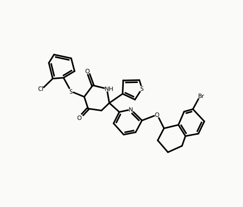 O=C1CC(c2ccsc2)(c2cccc(OC3CCCc4ccc(Br)cc43)n2)NC(=O)C1Sc1ccccc1Cl